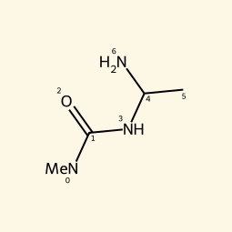 CNC(=O)NC(C)N